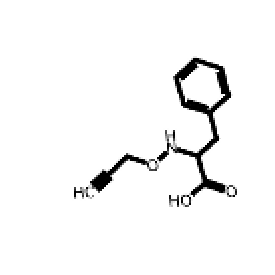 C#CCONC(Cc1ccccc1)C(=O)O